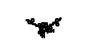 CCOC(=O)CCCCCC1(C(=O)O)C(I)=C(NC(C)=O)C(I)C(CCCCCC(=O)OCC)(C(=O)O)C1I